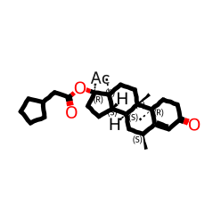 CC(=O)[C@@]1(OC(=O)CC2CCCC2)CC[C@H]2[C@@H]3C[C@H](C)C4=CC(=O)CC[C@]4(C)[C@@]3(C)CC[C@@]21C